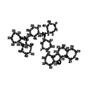 c1ccc(N(c2ccc(-c3cccc4oc5c6ccccc6ccc5c34)cc2)c2cccc(-n3c4ccccc4c4ccccc43)c2)cc1